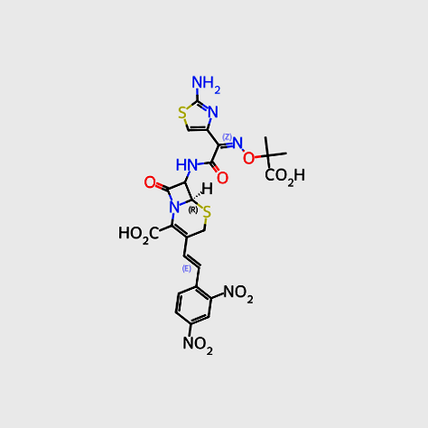 CC(C)(O/N=C(\C(=O)NC1C(=O)N2C(C(=O)O)=C(/C=C/c3ccc([N+](=O)[O-])cc3[N+](=O)[O-])CS[C@H]12)c1csc(N)n1)C(=O)O